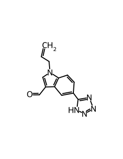 C=CCn1cc(C=O)c2cc(-c3nnn[nH]3)ccc21